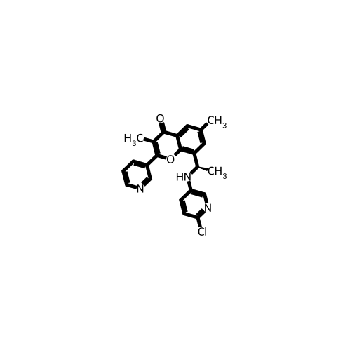 Cc1cc([C@@H](C)Nc2ccc(Cl)nc2)c2oc(-c3cccnc3)c(C)c(=O)c2c1